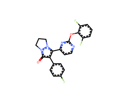 O=c1c(-c2ccc(F)cc2)c(-c2ccnc(Oc3c(F)cccc3F)n2)n2n1CCC2